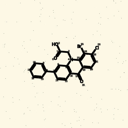 O=C(O)Cn1c2cc(-c3ccccc3)ccc2c(=O)c2ccc(Cl)c(Br)c21